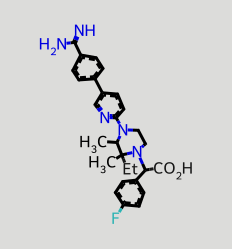 CCC1(C)C(C)N(c2ccc(-c3ccc(C(=N)N)cc3)cn2)CCN1C(C(=O)O)c1ccc(F)cc1